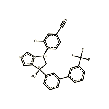 N#Cc1ccc([C@H]2C[C@](O)(c3cccc(-c4cccc(C(F)(F)F)c4)c3)c3cncn32)c(F)c1